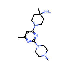 Cc1cc(N2CCC(C)(N)CC2)nc(N2CCN(C)CC2)n1